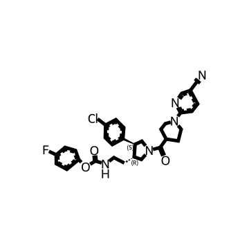 N#Cc1ccc(N2CCC(C(=O)N3C[C@H](CCNC(=O)Oc4ccc(F)cc4)[C@@H](c4ccc(Cl)cc4)C3)CC2)nc1